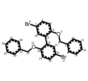 Brc1ccc(OCc2ccccc2)c(-c2cc(Br)ccc2OCc2ccccc2)c1